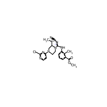 COC(=O)c1cccc(N/C(=N/C#N)N2CCN(c3ccnc(Cl)n3)CC2C(C)C)c1C